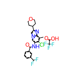 Cc1c(Cl)c(NC(=O)c2cccc(C(F)F)c2)cn2cc(C3CCOCC3)nc12.O=C(O)C(F)(F)F